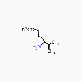 C=C(C)C(N)CCCCCCCC